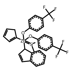 C[Si](C)=[Zr]([O]c1ccc(C(F)(F)F)cc1)([O]c1ccc(C(F)(F)F)cc1)([C]1=CC=CC1)[CH]1C=Cc2ccccc21